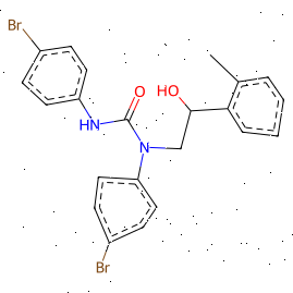 Cc1ccccc1C(O)CN(C(=O)Nc1ccc(Br)cc1)c1ccc(Br)cc1